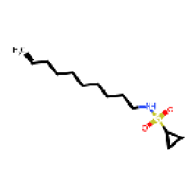 C=CCCCCCCCCNS(=O)(=O)C1CC1